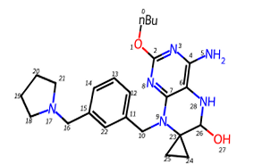 CCCCOc1nc(N)c2c(n1)N(Cc1cccc(CN3CCCC3)c1)C1(CC1)C(O)N2